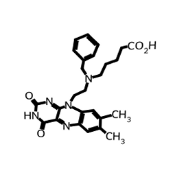 Cc1cc2nc3c(=O)[nH]c(=O)nc-3n(CCN(CCCCC(=O)O)Cc3ccccc3)c2cc1C